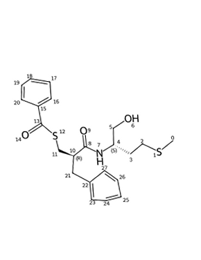 CSCC[C@@H](CO)NC(=O)[C@H](CSC(=O)c1ccccc1)Cc1ccccc1